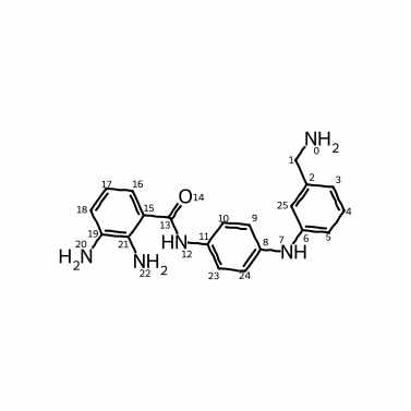 NCc1cccc(Nc2ccc(NC(=O)c3cccc(N)c3N)cc2)c1